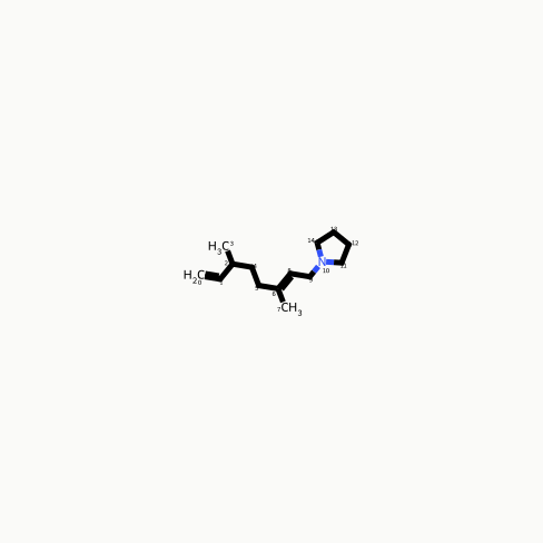 C=CC(C)CC/C(C)=C/CN1CCCC1